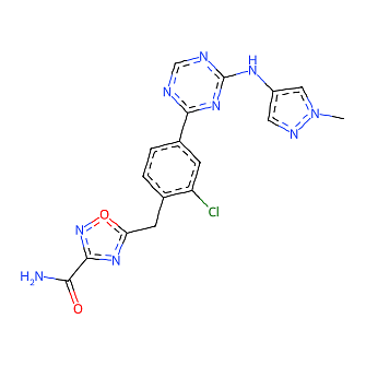 Cn1cc(Nc2ncnc(-c3ccc(Cc4nc(C(N)=O)no4)c(Cl)c3)n2)cn1